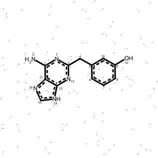 Nc1nc(Cc2cccc(O)c2)nc2[nH]cnc12